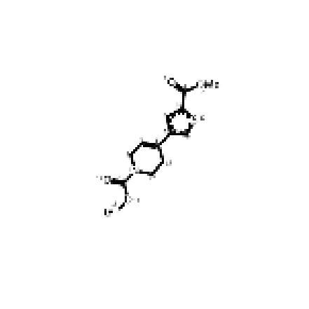 COC(=O)c1cc(C2=CCN(C(=O)OC(C)(C)C)CC2)cs1